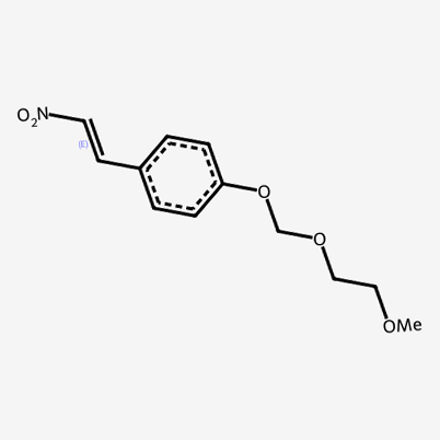 COCCOCOc1ccc(/C=C/[N+](=O)[O-])cc1